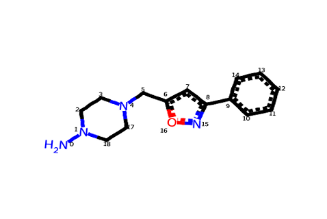 NN1CCN(Cc2cc(-c3ccccc3)no2)CC1